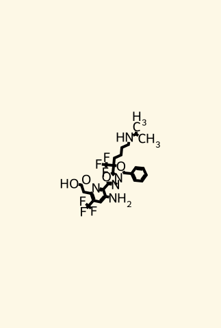 CC(C)NCCCCC(OCc1ccccc1)(c1nnc(-c2nc(CC(=O)O)c(C(F)(F)F)cc2N)o1)C(F)(F)F